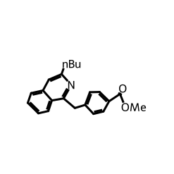 CCCCc1cc2ccccc2c(Cc2ccc(C(=O)OC)cc2)n1